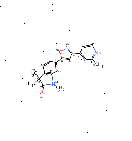 Cc1cc(-c2cc(-c3ccc4c(c3)N(C)C(=O)C4(C)C)on2)ccn1